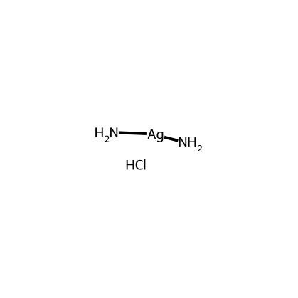 Cl.[NH2][Ag][NH2]